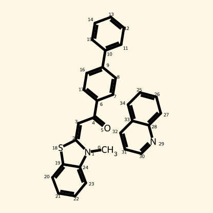 CN1C(=CC(=O)c2ccc(-c3ccccc3)cc2)Sc2ccccc21.c1ccc2ncccc2c1